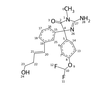 CN1C(=O)C(c2ccc(OC(F)F)cc2)(c2cccc(/C=C/CCO)c2)N=C1N